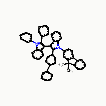 CC1(C)c2ccccc2-c2ccc(-n3c(-c4ccc(-c5ccccc5)cc4)c(-c4c(-c5ccccc5)n(-c5ccccc5)c5ccccc45)c4ccccc43)cc21